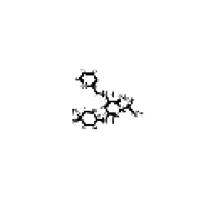 CC(C)c1nnc2c(NCc3ccccn3)cc(NC3CCC(F)(F)CC3)nn12